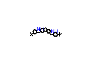 CC(C)(C)c1ccc2c(c1)Cc1cc3c(cc1N2)Cc1cc2c(cc1-3)Cc1ccc(C(C)(C)C)cc1N2